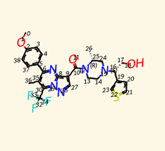 COc1ccc(-c2nc3c(C(=O)N4CCN([C@H](CO)c5ccsc5)C[C@H]4C)cnn3c(C(F)(F)F)c2C)cc1